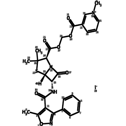 Cc1onc(-c2ccccc2)c1C(=O)N[C@H]1C(=O)N2[C@H]1SC(C)(C)[C@H]2C(=O)OCOC(=O)c1ccc[n+](C)c1.[I-]